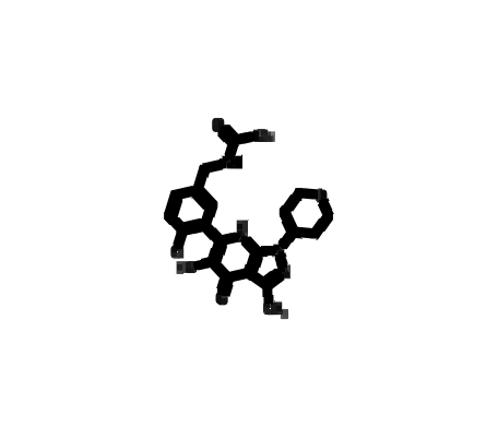 Cc1nn(C2CCOCC2)c2[nH]c(-c3cc(CNC(=O)C(C)(C)C)ccc3Cl)c(O)c(=O)c12